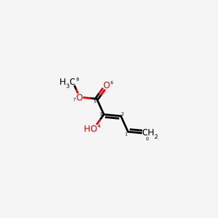 C=CC=C(O)C(=O)OC